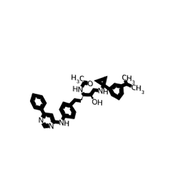 CC(=O)N[C@@H](CCc1ccc(Nc2cc(-c3ccccc3)ncn2)cc1)[C@H](O)CNC1(c2cccc(C(C)C)c2)CC1